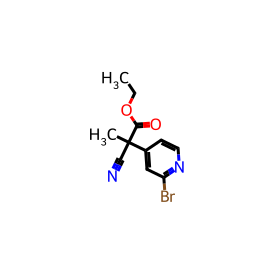 CCOC(=O)C(C)(C#N)c1ccnc(Br)c1